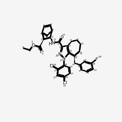 CCOC(=O)[C@H]1C2C=CC(C2)[C@H]1NC(=O)c1nn(-c2ccc(Cl)cc2Cl)c2c1CCCC[C@H]2Cc1cccc(F)c1